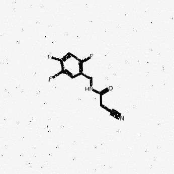 N#CCC(=O)NCc1cc(F)c(F)cc1F